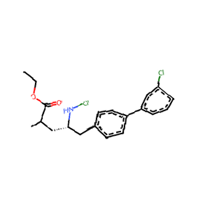 CCOC(=O)C(C)C[C@@H](Cc1ccc(-c2cccc(Cl)c2)cc1)NCl